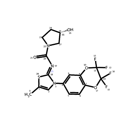 Cc1cn(-c2ccc3c(c2)OC(F)(F)C(F)(F)O3)/c(=N/C(=O)N2CC[C@H](O)C2)s1